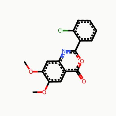 COc1cc2nc(-c3ccccc3Cl)oc(=O)c2cc1OC